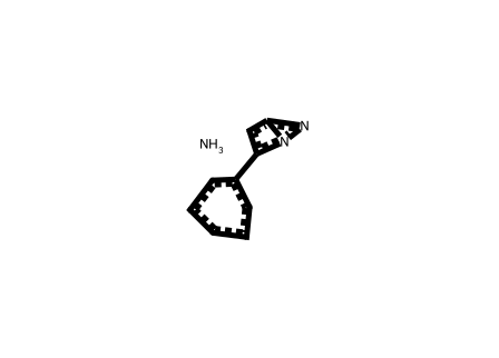 N.c1ccc(-c2cc3nn2-3)cc1